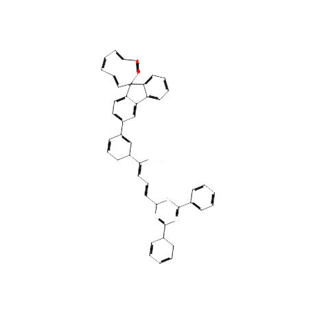 C/C(=C\C=C\C1N=C(C2C=CC=CC2)N=C(c2ccccc2)N1)C1C=C(c2ccc3c(c2)-c2ccccc2C32/C=C/C=C\C=C\c3ccccc32)C=CC1